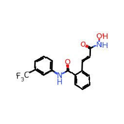 O=C(C=Cc1ccccc1C(=O)Nc1cccc(C(F)(F)F)c1)NO